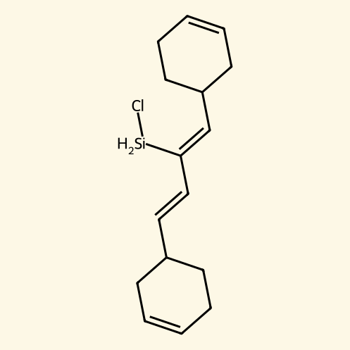 Cl[SiH2]C(C=CC1CC=CCC1)=CC1CC=CCC1